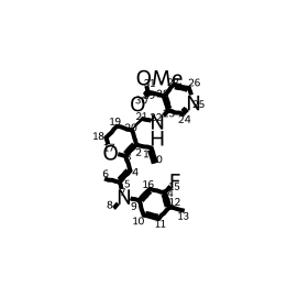 C=CC1=C(/C=C(\C)N(C)c2ccc(C)c(F)c2)OCC[C@H]1CNc1cnccc1C(=O)OC